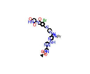 CC(C)n1nc(N2CCC(N(C)Cc3cc(Br)c4c(c3)CN(C3CCC(=O)NC3=O)C4=O)CC2)c2cnc(Nc3ccnc(-c4cnn(S(=O)(=O)C5CC5)c4)n3)cc21